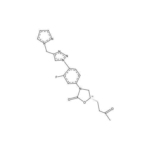 CC(=O)CC[C@H]1CN(c2ccc(-n3cc(Cn4cccn4)nn3)c(F)c2)C(=O)O1